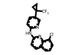 FC(F)(F)C1(c2ccc(Nc3ccc4cccc(Cl)c4n3)nc2)CC1